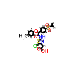 Cc1ccc(OC(C(=O)Nc2nc(CC(=O)O)c(Cl)s2)c2ccc(S(=O)(=O)C3CC3)cc2)cc1